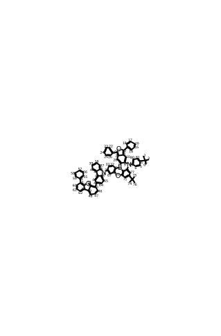 CC(C)(C)c1ccc(N2c3cc4c(-c5ccccc5)oc(-c5ccccc5)c4cc3B3c4ccc(-n5c6ccccc6c6cc(-c7cccc8c7oc7c(-c9ccccc9)cccc78)ccc65)cc4Oc4cc(C(C)(C)C)cc2c43)cc1